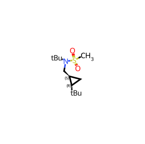 CC(C)(C)[C@@H]1C[C@@H]1CN(C(C)(C)C)S(C)(=O)=O